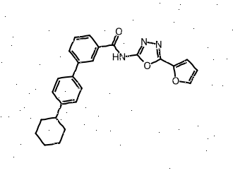 O=C(Nc1nnc(-c2ccco2)o1)c1cccc(-c2ccc(C3CCCCC3)cc2)c1